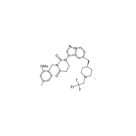 CCC(F)(F)CN1CC[C@@H](Cc2ccn3ncc(N4CCC(=O)N(Cc5ccc(C)cc5OC)C4=O)c3c2)C[C@@H]1C